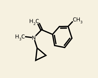 C=C(c1cccc(C)c1)N(C)C1CC1